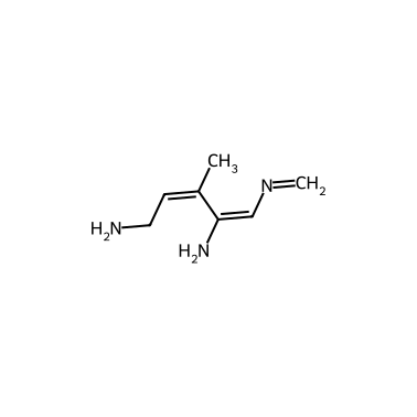 C=N/C=C(N)\C(C)=C/CN